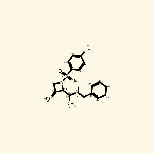 C=C1CN(S(=O)(=O)c2ccc(C)cc2)C1[C@H](C)NCC1=CCCC=C1